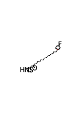 O=C(CCCCCCCCCCCCCCc1ccc(F)cc1)CC1=CNCCS1